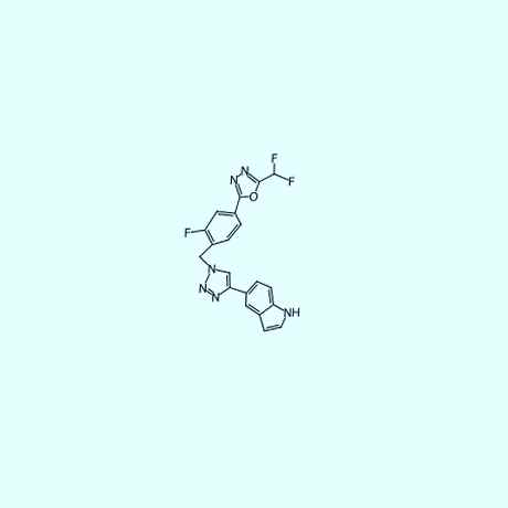 Fc1cc(-c2nnc(C(F)F)o2)ccc1Cn1cc(-c2ccc3[nH]ccc3c2)nn1